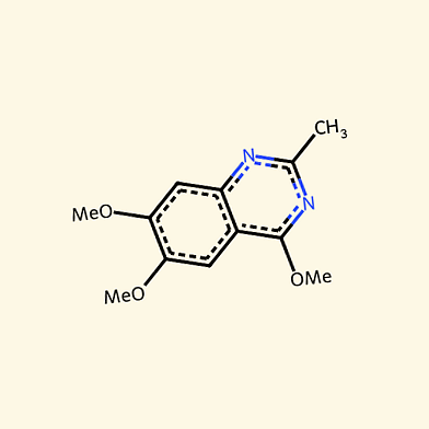 COc1cc2nc(C)nc(OC)c2cc1OC